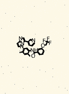 Cc1cc(C)c(-n2ccc3ncc(-c4cccnc4)n32)cc1NC(=O)c1cccc(OCC(F)(F)F)c1